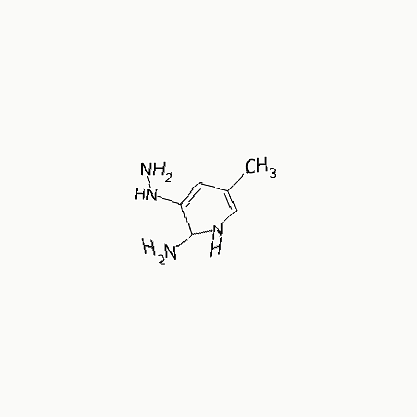 CC1=CNC(N)C(NN)=C1